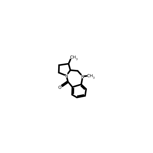 CC1CCN2C(=O)c3ccccc3N(C)CC12